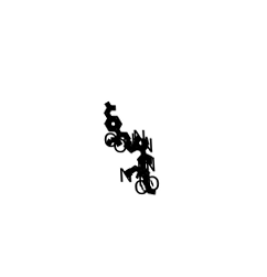 CCS(=O)(=O)N1CC(CC#N)(n2cc(-c3ncnc4c3ccn4CC(C(=O)OC)c3ccc(CC(C)C)cc3)cn2)C1